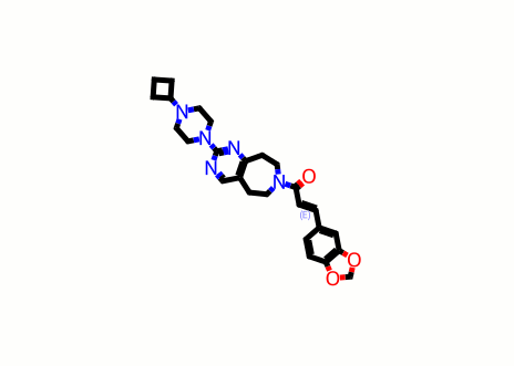 O=C(/C=C/c1ccc2c(c1)OCO2)N1CCc2cnc(N3CCN(C4CCC4)CC3)nc2CC1